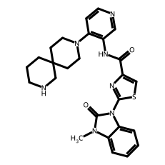 Cn1c(=O)n(-c2nc(C(=O)Nc3cnccc3N3CCC4(CCCNC4)CC3)cs2)c2ccccc21